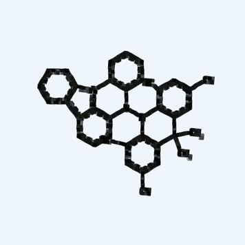 CC1(C)c2cc(C#N)cc(C#N)c2N(B2c3ccccc3-n3c4ccccc4c4cccc2c43)c2c(C#N)cc(C#N)cc21